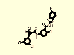 O=C(Nc1nc2ccc(F)cc2s1)c1cc(NC(=O)C2C(c3cc(Cl)cc(Cl)c3)C2(Cl)Cl)ccc1Cl